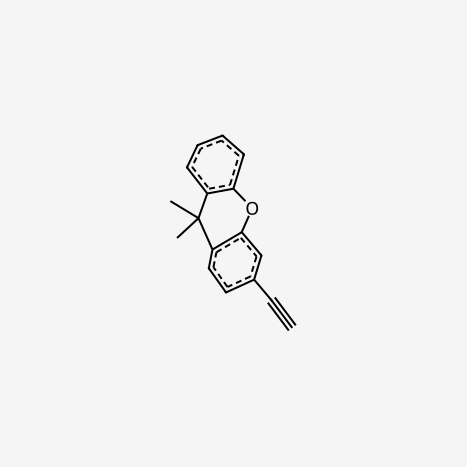 C#Cc1ccc2c(c1)Oc1ccccc1C2(C)C